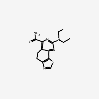 CCN(CC)c1nc(C(N)=O)c2c(n1)-c1s[c]nc1CC2